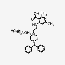 Cc1cc(NCCN2CCN(C(c3ccccc3)c3ccccc3)CC2)c(C(=O)O)c(C)n1.Cl.Cl.Cl.O.O